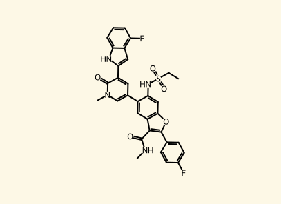 CCS(=O)(=O)Nc1cc2oc(-c3ccc(F)cc3)c(C(=O)NC)c2cc1-c1cc(-c2cc3c(F)cccc3[nH]2)c(=O)n(C)c1